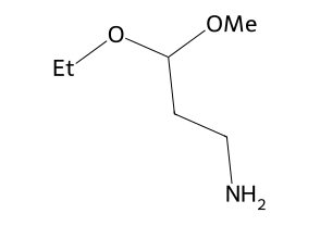 CCOC(CCN)OC